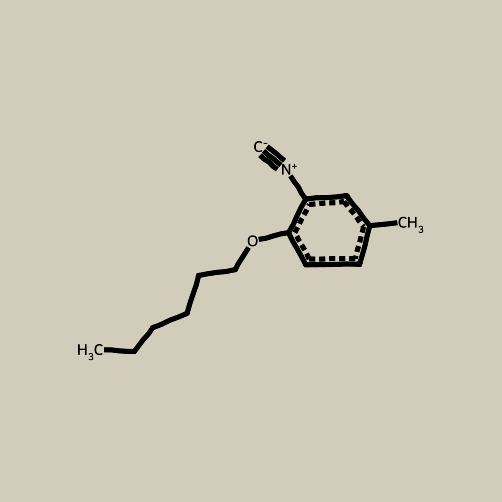 [C-]#[N+]c1cc(C)ccc1OCCCCCC